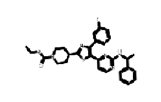 CCOC(=O)N1CCC(c2nc(-c3cccc(F)c3)c(-c3ccnc(NC(C)c4ccccc4)n3)s2)CC1